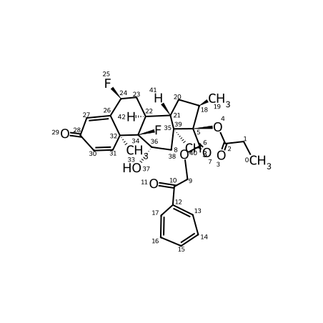 CCC(=O)O[C@]1(C(=O)OCC(=O)c2ccccc2)[C@H](C)C[C@H]2[C@@H]3C[C@H](F)C4=CC(=O)C=C[C@]4(C)[C@@]3(F)[C@@H](O)C[C@@]21C